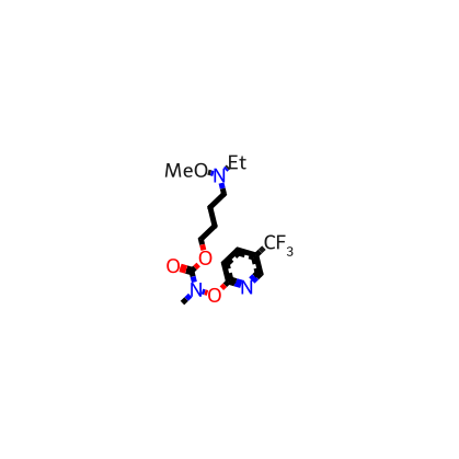 CCN(CCCCOC(=O)N(C)Oc1ccc(C(F)(F)F)cn1)OC